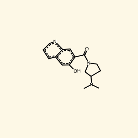 CN(C)C1CCN(C(=O)c2cc3ncccc3cc2O)C1